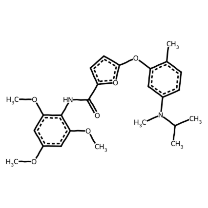 COc1cc(OC)c(NC(=O)c2ccc(Oc3cc(N(C)C(C)C)ccc3C)o2)c(OC)c1